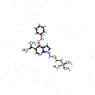 C=C(C)c1cnc2c(ccn2COCC[Si](C)(C)C)c1OCc1ccccc1